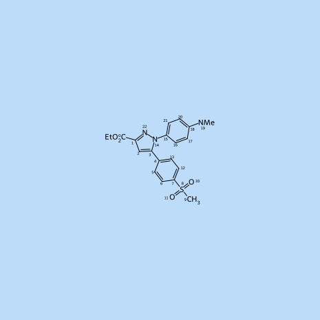 CCOC(=O)c1cc(-c2ccc(S(C)(=O)=O)cc2)n(-c2ccc(NC)cc2)n1